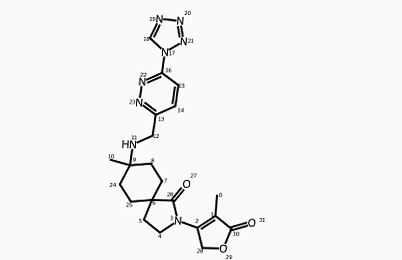 CC1=C(N2CCC3(CCC(C)(NCc4ccc(-n5cnnn5)nn4)CC3)C2=O)COC1=O